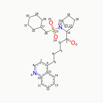 O=C(CCCCc1ccnc2ccccc12)C1C2CCC(C2)N1S(=O)(=O)CC1CCCCC1